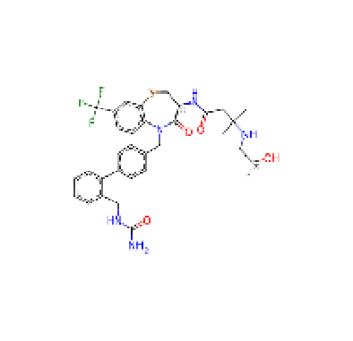 C[C@@H](O)CNC(C)(C)CC(=O)N[C@@H]1CSc2cc(C(F)(F)F)ccc2N(Cc2ccc(-c3ccccc3CNC(N)=O)cc2)C1=O